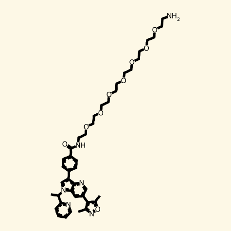 Cc1noc(C)c1-c1cnc2c(-c3ccc(C(=O)NCCOCCOCCOCCOCCOCCOCCOCCN)cc3)cn(C(C)c3ccccn3)c2c1